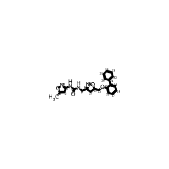 Cc1cc(NC(=O)NCC2=NOC(COc3ccccc3-c3ccccc3)C2)no1